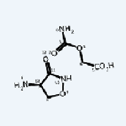 NC(=O)OCC(=O)O.N[C@@H]1CONC1=O